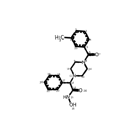 Cc1cccc(C(=O)N2CCN(C(C(=O)NO)c3ccccc3)CC2)c1